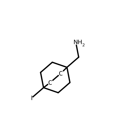 NCC12CCC(I)(CC1)CC2